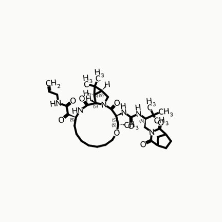 C=CCNC(=O)C(=O)[C@@H]1CCCCCCCO[C@@H](C)[C@H](NC(=O)N[C@H](CN2C(=O)C3CCC(C3)C2=O)C(C)(C)C)C(=O)N2C[C@H]3[C@@H]([C@H]2C(=O)N1)C3(C)C